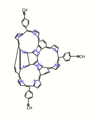 C#Cc1ccc(-c2c3nc(c4ccc5c6ccc([nH]6)c(-c6ccc(C#C)cc6)c6nc(c7ccc8c9ccc([nH]9)c(-c9ccc(C#C)cc9)c9nc(c%10ccc(c%11ccc2[nH]%11)c2nc%11c(nc%102)c2nc8c7nc2c2nc5c4nc%112)C=C9)C=C6)C=C3)cc1